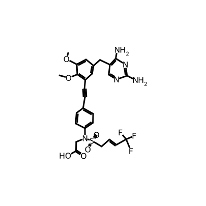 COc1cc(Cc2cnc(N)nc2N)cc(C#Cc2ccc(N(CC(=O)O)S(=O)(=O)CC=CC(F)(F)F)cc2)c1OC